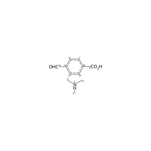 C[SiH](C)C.O=Cc1ccc(C(=O)O)cc1